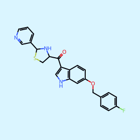 O=C(c1c[nH]c2cc(OCc3ccc(F)cc3)ccc12)C1CSC(c2cccnc2)N1